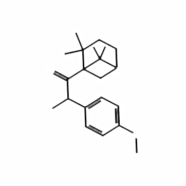 CSc1ccc(C(C)C(=O)C23CC(CCC2(C)C)C3(C)C)cc1